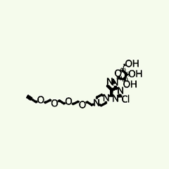 C#CCOCCOCCOCCOCCN1CCN(c2nc(Cl)nc3c2cnn3[C@@H]2O[C@H](CO)[C@@H](O)[C@H]2O)CC1